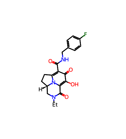 CCN1C[C@@H]2CCc3c(C(=O)NCc4ccc(F)cc4)c(=O)c(O)c(n32)C1=O